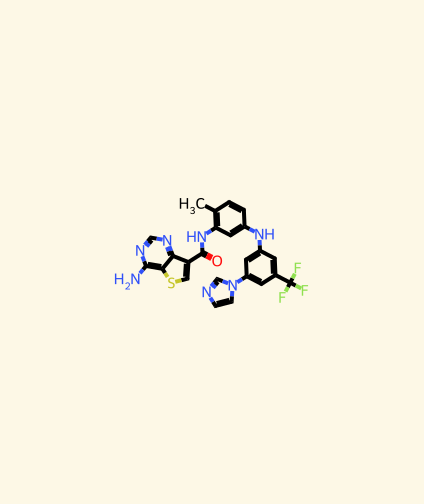 Cc1ccc(Nc2cc(-n3ccnc3)cc(C(F)(F)F)c2)cc1NC(=O)c1csc2c(N)ncnc12